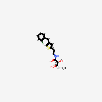 O=C(O)[C@H](O)[C@@H](O)C(=O)NCCc1cc(Cc2ccccc2Cl)cs1